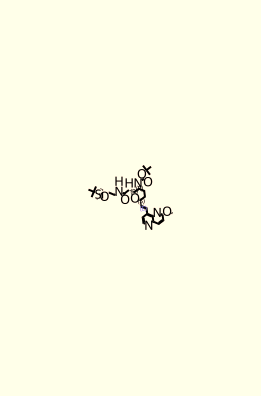 COc1ccc2nccc(/C=C/[C@@H]3CC[C@@H](NC(=O)OC(C)(C)C)[C@@H](CC(=O)NCCO[Si](C)(C)C(C)(C)C)O3)c2n1